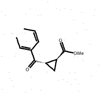 C/C=C\C(=C/C)C(=O)[C@H]1C[C@@H]1C(=O)OC